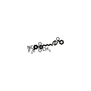 CC1=C(CCCCCCN2CCN(C(=O)C3CCCCC3)CC2)C(=O)N(c2ccc(C#N)c(C(F)(F)F)c2)C1=O